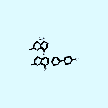 Cc1ccc2cccc([O-])c2n1.Cc1ccc2cccc([O-])c2n1.[Ga+3].[O-]c1ccc(-c2ccccc2)cc1